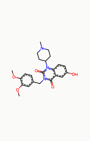 COc1ccc(Cn2c(=O)c3cc(O)ccc3n(C3CCN(C)CC3)c2=O)cc1OC